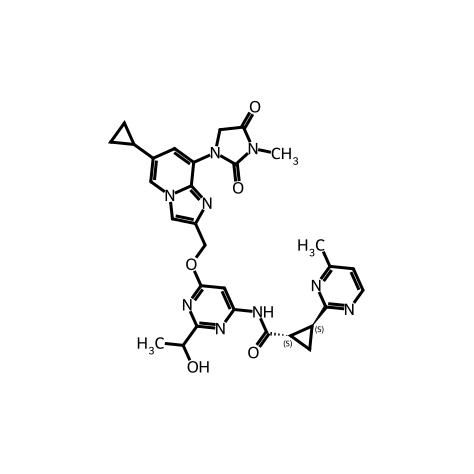 Cc1ccnc([C@H]2C[C@@H]2C(=O)Nc2cc(OCc3cn4cc(C5CC5)cc(N5CC(=O)N(C)C5=O)c4n3)nc(C(C)O)n2)n1